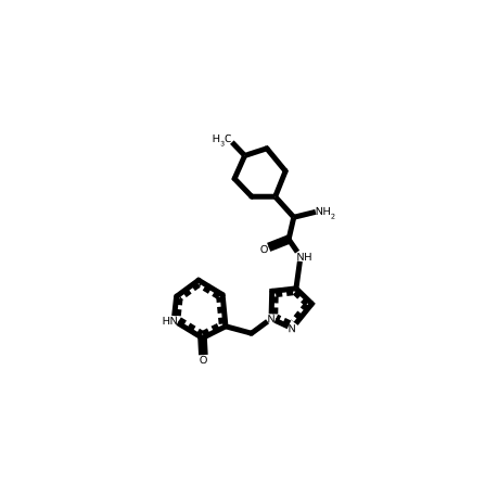 CC1CCC(C(N)C(=O)Nc2cnn(Cc3ccc[nH]c3=O)c2)CC1